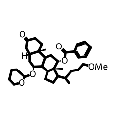 COCCCC(C)C1CCC2C3C(C[C@H](OC(=O)c4ccccc4)[C@]12C)[C@@]1(C)CCC(=O)C[C@H]1C[C@H]3OC1CCCCO1